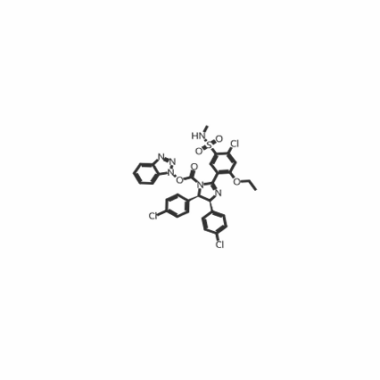 CCOc1cc(Cl)c(S(=O)(=O)NC)cc1C1=N[C@@H](c2ccc(Cl)cc2)[C@@H](c2ccc(Cl)cc2)N1C(=O)On1nnc2ccccc21